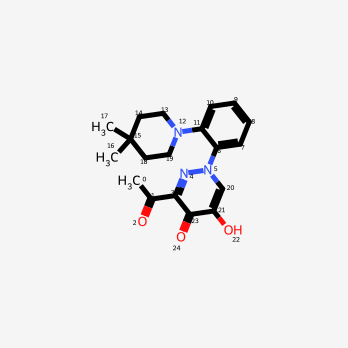 CC(=O)c1nn(-c2ccccc2N2CCC(C)(C)CC2)cc(O)c1=O